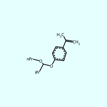 C=C(C)c1ccc(OC(OCCC)C(C)C)cc1